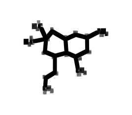 CCCC1CC(C)(C)CC2CC(N)CC(C)C12